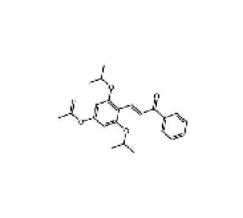 C=C(C)Oc1cc(OC(C)C)c(C=CC(=O)c2ccccc2)c(OC(C)C)c1